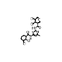 Cc1nc(NC(=O)c2cccc(Cl)c2Cl)nc(NC(=O)c2cccc(Cl)c2Cl)n1